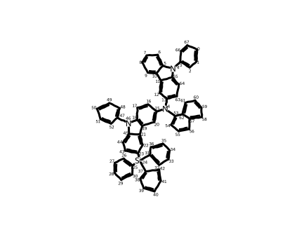 c1ccc(-n2c3ccccc3c3cc(N(c4ccc5c(c4)c4cc([Si](c6ccccc6)(c6ccccc6)c6ccccc6)ccc4n5-c4ccccc4)c4cccc5ccccc45)ccc32)cc1